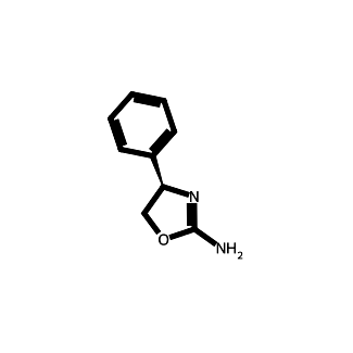 NC1=N[C@H](c2ccccc2)CO1